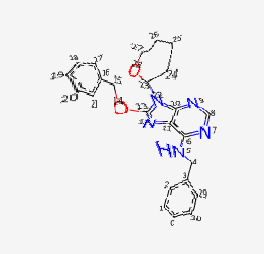 c1ccc(CNc2ncnc3c2nc(OCc2ccccc2)n3C2CCCCO2)cc1